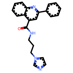 O=C(NCCCn1ccnc1)c1cc(-c2ccccc2)nc2ccccc12